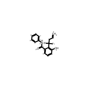 C=CCC(F)(F)c1c(O)cccc1C(=O)Nc1ccccc1